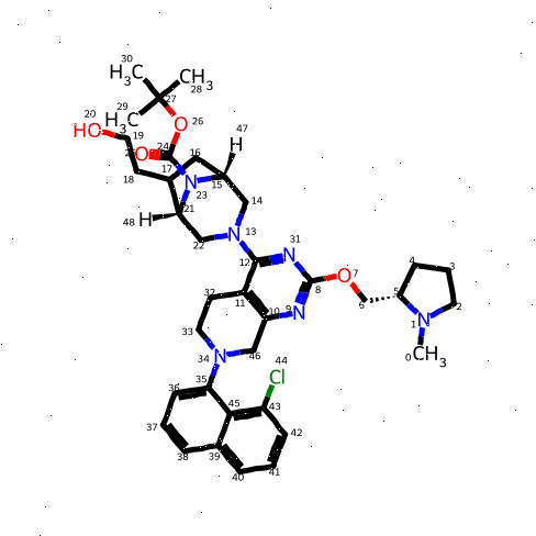 CN1CCC[C@H]1COc1nc2c(c(N3C[C@H]4CC(CCO)[C@@H](C3)N4C(=O)OC(C)(C)C)n1)CCN(c1cccc3cccc(Cl)c13)C2